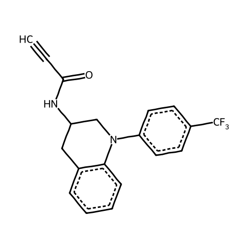 C#CC(=O)NC1Cc2ccccc2N(c2ccc(C(F)(F)F)cc2)C1